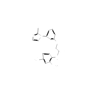 COc1cc(C#N)ccc1O[C@@H](C)COc1cccc(-n2ccnc2C)c1